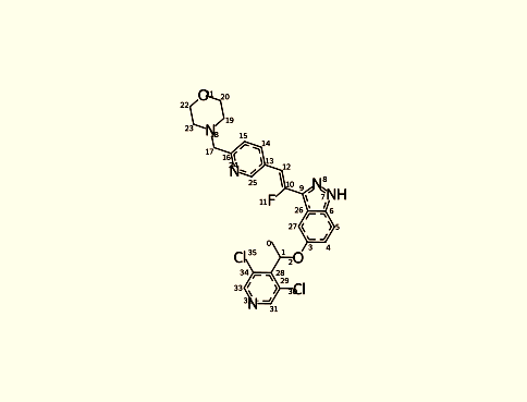 CC(Oc1ccc2[nH]nc(C(F)=Cc3ccc(CN4CCOCC4)nc3)c2c1)c1c(Cl)cncc1Cl